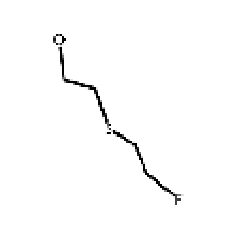 [O]CCSCCF